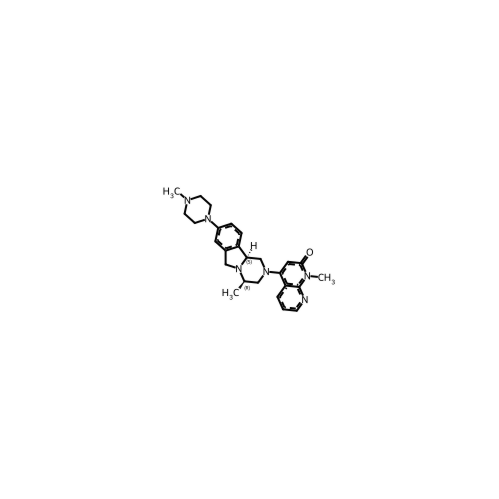 C[C@@H]1CN(c2cc(=O)n(C)c3ncccc23)C[C@@H]2c3ccc(N4CCN(C)CC4)cc3CN12